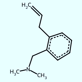 C=CCc1ccccc1CN(C)C